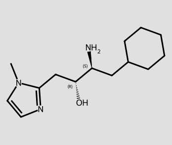 Cn1ccnc1C[C@@H](O)[C@@H](N)CC1CCCCC1